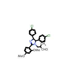 COc1ccc(C2=NC(c3ccc(Cl)cc3)C(c3ccc(Cl)cc3)N2CC(C)C=O)c(OC)c1